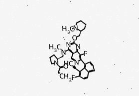 C#Cc1c(F)ccc2cccc(-c3ncc4c(N(C)C[C@@H]5CCCN5C(=O)C=C)nc(OC[C@@H]5CCCCN5C)nc4c3F)c12